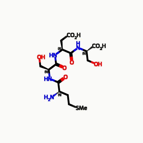 CSCC[C@H](N)C(=O)N[C@@H](CO)C(=O)N[C@@H](CC(=O)O)C(=O)N[C@@H](CO)C(=O)O